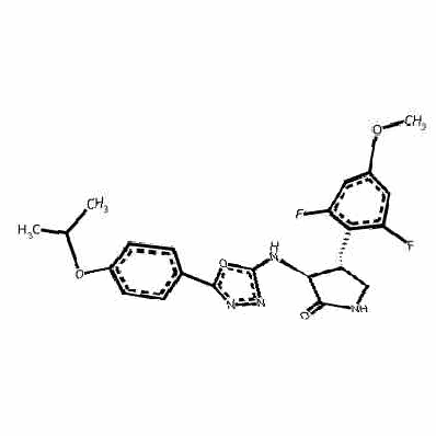 COc1cc(F)c([C@@H]2CNC(=O)[C@H]2Nc2nnc(-c3ccc(OC(C)C)cc3)o2)c(F)c1